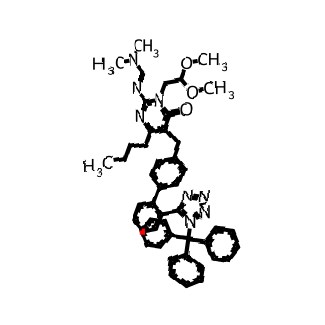 CCCCc1nc(N=CN(C)C)n(CC(OC)OC)c(=O)c1Cc1ccc(-c2ccccc2-c2nnnn2C(c2ccccc2)(c2ccccc2)c2ccccc2)cc1